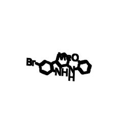 COc1ccccc1NC1CCCc2c1[nH]c1ccc(Br)cc21